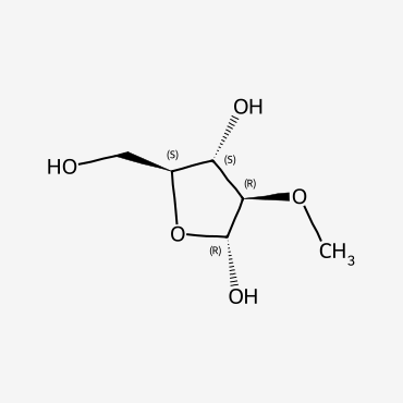 CO[C@@H]1[C@@H](O)[C@H](CO)O[C@H]1O